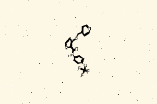 O=C(Nc1ccc(OC(F)(F)F)cc1)c1sccc1SCc1ccncc1